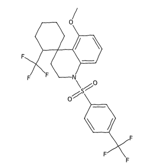 COc1cccc2c1C1(CCCCC1C(F)(F)F)CCN2S(=O)(=O)c1ccc(C(F)(F)F)cc1